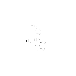 CCC1(CC)CCC(=O)N1C(=O)NCc1ccc(Br)cc1